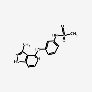 Cc1n[nH]c2ccnc(Nc3cccc(NS(C)(=O)=O)c3)c12